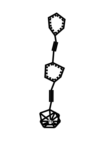 C(#Cc1ccc(C#C[C]23[CH]4[CH]5[CH]6[CH]2[Fe]56432789[CH]3[CH]2[CH]7[CH]8[CH]39)cc1)c1ccccc1